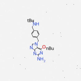 CCCCOc1nc(N)nc2ncn(Cc3ccc(CNC(C)(C)C)cc3)c12